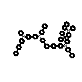 c1ccc(-c2ccc(-c3ccc(N(c4ccccc4)c4ccc(-c5ccc(N(c6ccc(-c7ccccc7)cc6)c6ccc(-c7cccc(-c8ccc(-c9ccc(N(c%10ccc(-c%11ccccc%11)cc%10)c%10ccc%11c(c%10)C(c%10ccccc%10)(c%10ccccc%10)c%10cc(N(c%12ccccc%12)c%12cccc%13ccccc%12%13)ccc%10-%11)cc9)cc8)c7)cc6)cc5)cc4)cc3)cc2)cc1